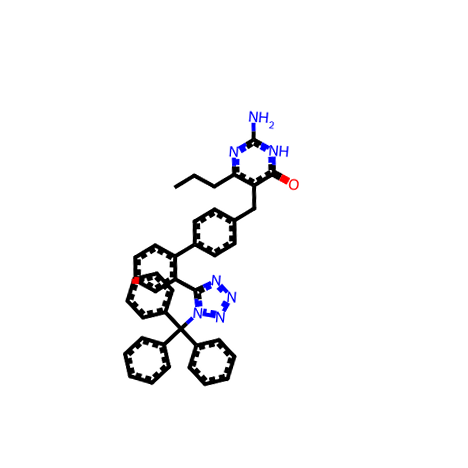 CCCc1nc(N)[nH]c(=O)c1Cc1ccc(-c2ccccc2-c2nnnn2C(c2ccccc2)(c2ccccc2)c2ccccc2)cc1